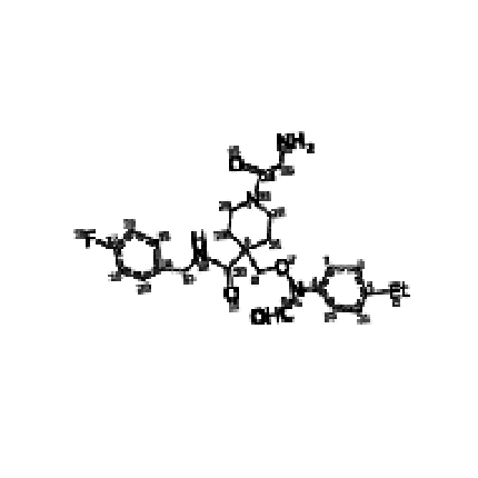 CCc1ccc(N(C=O)OCC2(C(=O)NCc3ccc(F)cc3)CCN(C(=O)CN)CC2)cc1